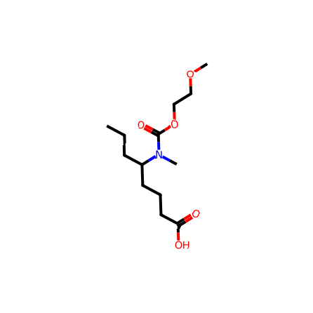 CCCC(CCCC(=O)O)N(C)C(=O)OCCOC